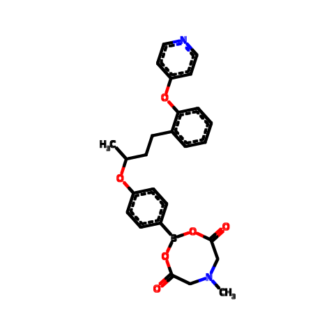 CC(CCc1ccccc1Oc1ccncc1)Oc1ccc(B2OC(=O)CN(C)CC(=O)O2)cc1